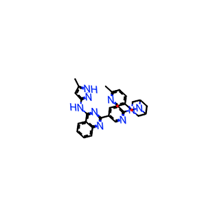 Cc1ccc(CN2C3CC2CN(c2ccc(-c4nc(Nc5cc(C)[nH]n5)c5ccccc5n4)cn2)C3)cn1